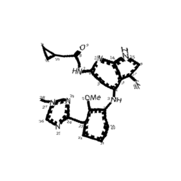 COc1c(Nc2cc(NC(=O)C3CC3)nc3[nH]cc(F)c23)cccc1-c1ncn(C)n1